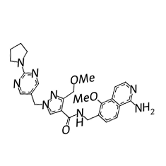 COCc1nn(Cc2cnc(N3CCCC3)nc2)cc1C(=O)NCc1ccc2c(N)nccc2c1OC